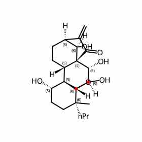 C=C1C(=O)[C@]23[C@H](O)[C@H]1CC[C@H]2[C@@]12CO[C@@]3(O)[C@@H](O)[C@@H]1[C@](C)(CCC)CC[C@@H]2O